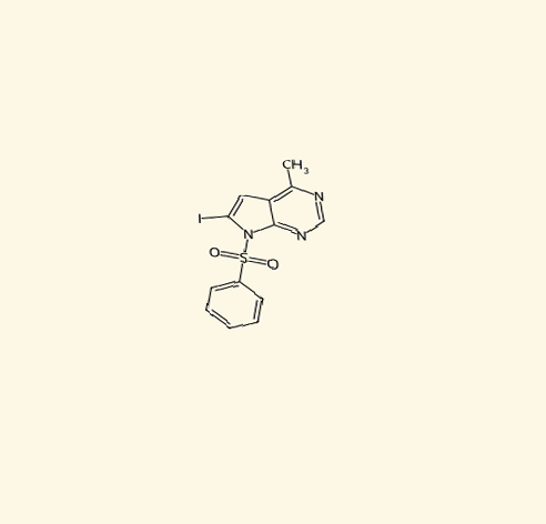 Cc1ncnc2c1cc(I)n2S(=O)(=O)c1ccccc1